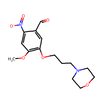 COc1cc([N+](=O)[O-])c(C=O)cc1OCCCN1CCOCC1